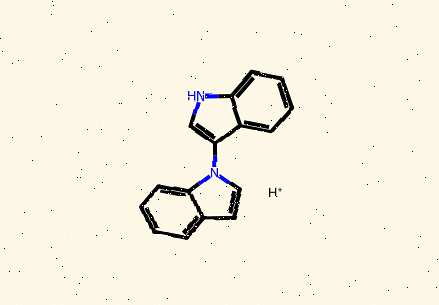 [H+].c1ccc2c(c1)ccn2-c1c[nH]c2ccccc12